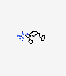 CN(c1cc(-c2ccccc2)c2cc(CCc3ccccc3)ccc2n1)c1nnn[nH]1